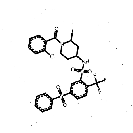 O=C(c1ccccc1Cl)N1CCC(NS(=O)(=O)c2cc(S(=O)(=O)c3ccccc3)ccc2C(F)(F)F)CC1I